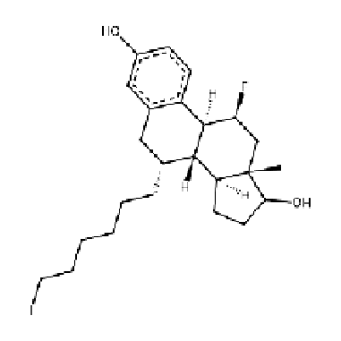 C[C@]12C[C@H](F)[C@@H]3c4ccc(O)cc4C[C@@H](CCCCCCI)[C@H]3[C@@H]1CCC2O